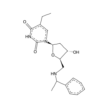 CCc1cn([C@H]2C[C@H](O)[C@@H](CNC(C)c3ccccc3)O2)c(=O)[nH]c1=O